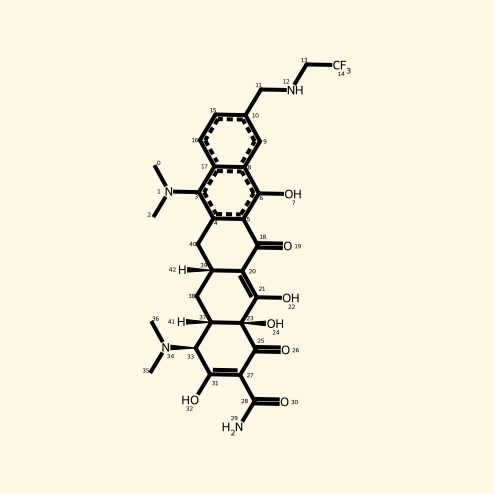 CN(C)c1c2c(c(O)c3cc(CNCC(F)(F)F)ccc13)C(=O)C1=C(O)[C@]3(O)C(=O)C(C(N)=O)=C(O)[C@@H](N(C)C)[C@@H]3C[C@@H]1C2